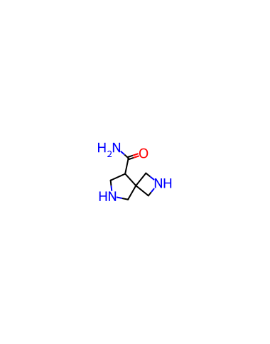 NC(=O)C1CNCC12CNC2